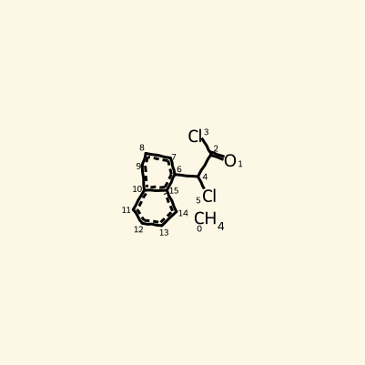 C.O=C(Cl)C(Cl)c1cccc2ccccc12